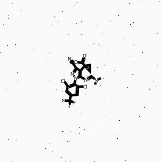 CN(C)/C=N/c1c(C2(C(=O)O)CC2)c(C#N)nn1-c1c(Cl)cc(C(F)(F)F)cc1Cl